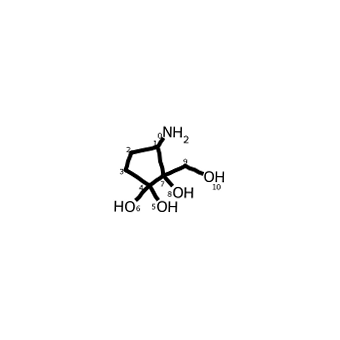 NC1CCC(O)(O)C1(O)CO